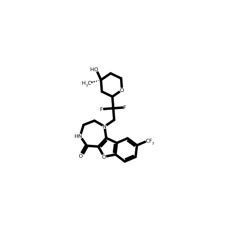 C[C@]1(O)CCOC(C(F)(F)CN2CCNC(=O)c3oc4ccc(C(F)(F)F)cc4c32)C1